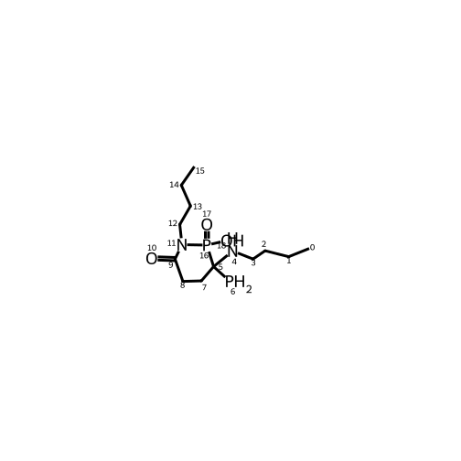 CCCCNC1(P)CCC(=O)N(CCCC)P1(=O)O